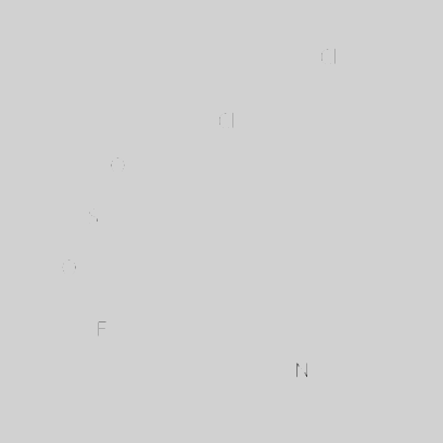 CS(=O)(=O)c1ccc(-c2ncccc2-c2ccc(Cl)c(Cl)c2)cc1F